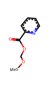 CSOCOC(=O)c1ccccn1